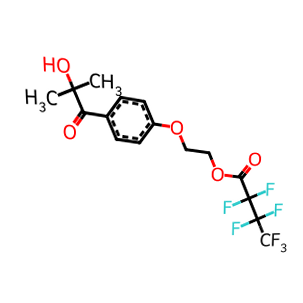 CC(C)(O)C(=O)c1ccc(OCCOC(=O)C(F)(F)C(F)(F)C(F)(F)F)cc1